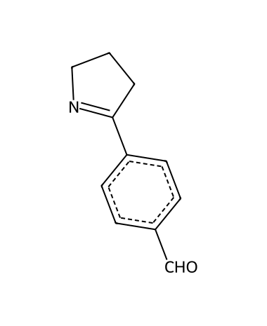 O=Cc1ccc(C2=NCCC2)cc1